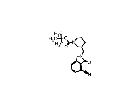 CC(C)(C)OC(=O)N1CCCC(CN2Cc3cccc(C#N)c3C2=O)C1